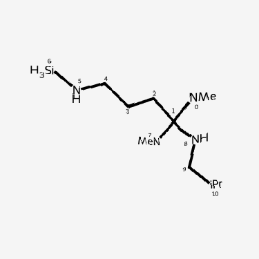 CNC(CCCN[SiH3])(NC)NCC(C)C